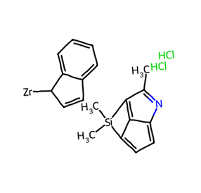 CC1=NC2=CC=C3C2=C1[Si]3(C)C.Cl.Cl.[Zr][CH]1C=Cc2ccccc21